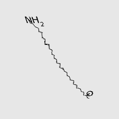 CCC(=O)CCCCCCCCCCCCCCCCCCCCCCCCCCCCCCCCCN